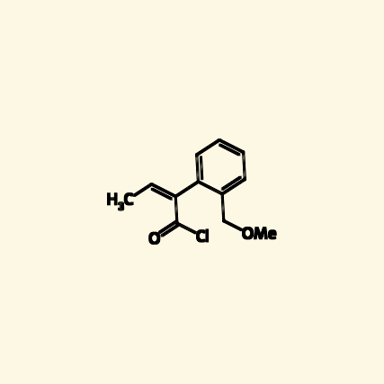 CC=C(C(=O)Cl)c1ccccc1COC